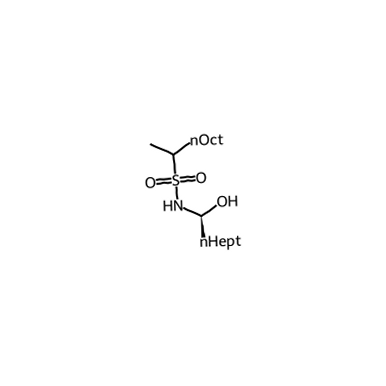 CCCCCCCCC(C)S(=O)(=O)N[C@@H](O)CCCCCCC